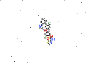 O=S(=O)(Nc1nccs1)c1ccc(Oc2ccc(Cl)cc2-c2ccnn2-c2ccccc2)cc1F